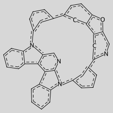 c1ccc2c(c1)c1c3c4ccccc4n4c5cccc(c5)c5cc6c(cn5)oc5ccc(cc56)c5cccc(c5)n2c1cnc34